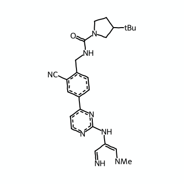 CN/C=C(\C=N)Nc1nccc(-c2ccc(CNC(=O)N3CCC(C(C)(C)C)C3)c(C#N)c2)n1